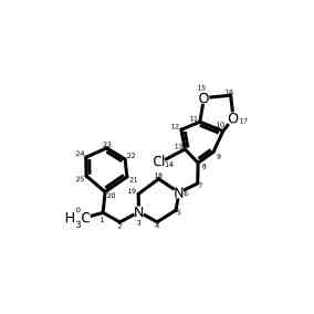 CC(CN1CCN(Cc2cc3c(cc2Cl)OCO3)CC1)c1ccccc1